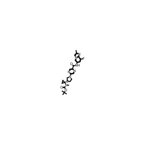 Cc1cn2cc(NC(=O)c3cnc(N4CC[C@@H](C5(N(C)C(=O)OC(C)(C)C)CC5)C4)cn3)cc(F)c2n1